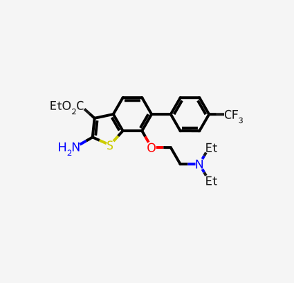 CCOC(=O)c1c(N)sc2c(OCCN(CC)CC)c(-c3ccc(C(F)(F)F)cc3)ccc12